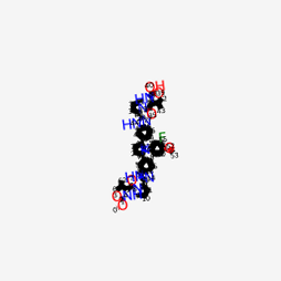 COC(=O)NC(C(=O)N1CCC[C@H]1c1nc2ccc([C@H]3CC[C@H](c4ccc5nc([C@@H]6CCCN6C(=O)[C@@H](NC(=O)O)C(C)C)[nH]c5c4)N3c3ccc(OC)c(F)c3)cc2[nH]1)C(C)C